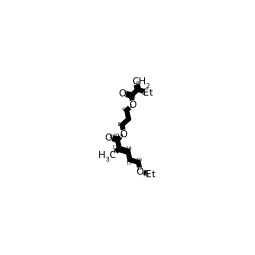 C=C(CC)C(=O)OCCCOC(=O)C(C)=CCCOCC